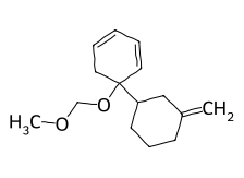 C=C1CCCC(C2(OCOC)C=CC=CC2)C1